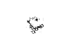 Cc1ccc(C)c(-c2ccc(C(=O)NC3CCCCC3)nc2-c2ccc(Cl)c(OCCCN(C)C)c2)c1.Cl.O=C(O)O